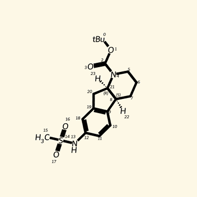 CC(C)(C)OC(=O)N1CCC[C@H]2c3ccc(NS(C)(=O)=O)cc3C[C@H]21